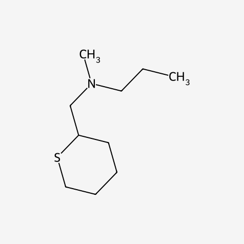 CCCN(C)CC1CCCCS1